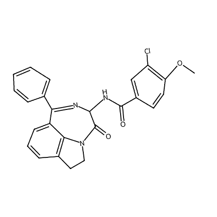 COc1ccc(C(=O)NC2N=C(c3ccccc3)c3cccc4c3N(CC4)C2=O)cc1Cl